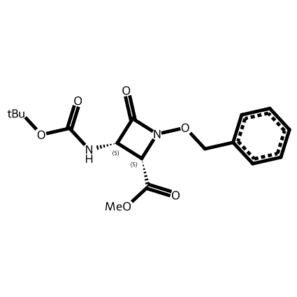 COC(=O)[C@@H]1[C@H](NC(=O)OC(C)(C)C)C(=O)N1OCc1ccccc1